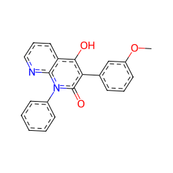 COc1cccc(-c2c(O)c3cccnc3n(-c3ccccc3)c2=O)c1